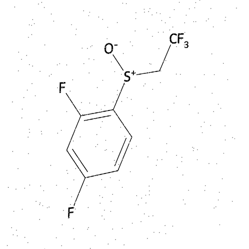 [O-][S+](CC(F)(F)F)c1ccc(F)cc1F